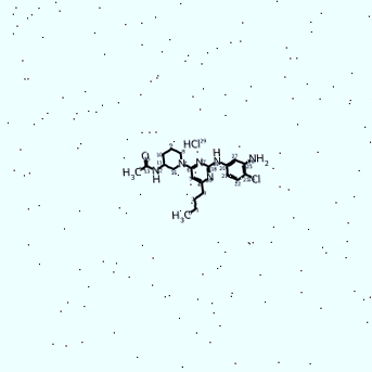 CCCCc1cc(N2CCCC(NC(C)=O)C2)nc(Nc2ccc(Cl)c(N)c2)n1.Cl